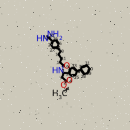 CCOC(=O)CC(NC(=O)CCCCc1ccc(C(=N)N)cc1)c1ccc(-c2ccccc2)cc1